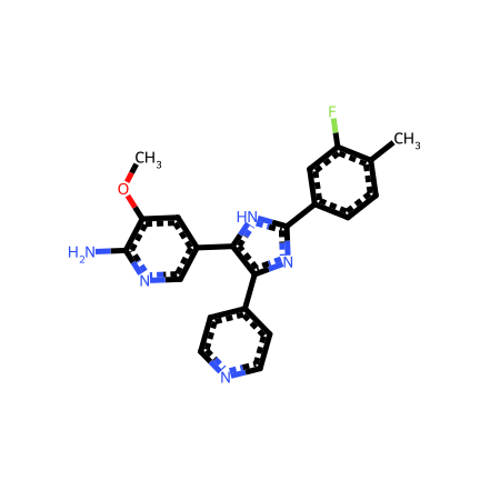 COc1cc(-c2[nH]c(-c3ccc(C)c(F)c3)nc2-c2ccncc2)cnc1N